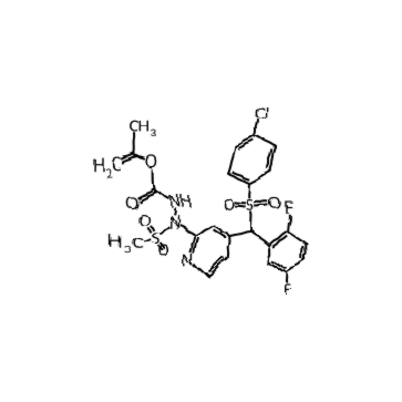 C=C(C)OC(=O)NN(c1cc(C(c2cc(F)ccc2F)S(=O)(=O)c2ccc(Cl)cc2)ccn1)S(C)(=O)=O